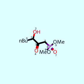 CCCCC(O)C(=O)CP(=O)(OC)OC